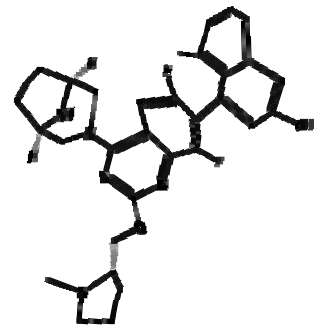 Cc1cccc2cc(O)cc(-c3c(F)cc4c(N5C[C@H]6CC[C@@H](C5)N6)nc(OC[C@@H]5CCCN5C)nc4c3F)c12